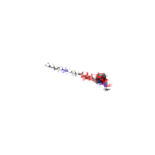 C=C1CC[C@@]2(O)C3CC4C=CC(OCOC(=O)OCCCCCCCC/C=C/CCCCCCCC)=C5O[C@@H]1[C@]2(CCN3CC1CC1)C54